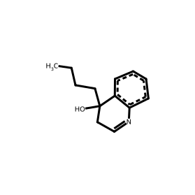 CCCCC1(O)CC=Nc2ccccc21